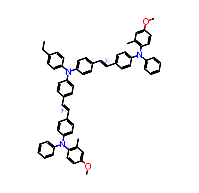 CCc1ccc(N(c2ccc(/C=C/c3ccc(N(c4ccccc4)c4ccc(OC)cc4C)cc3)cc2)c2ccc(/C=C/c3ccc(N(c4ccccc4)c4ccc(OC)cc4C)cc3)cc2)cc1